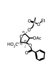 CCOP(C)(=O)CO[C@H]1O[C@@H](C(=O)O)[C@](C)(OC(=O)c2ccccc2)C1OC(C)=O